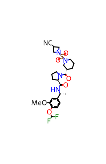 COc1cc([C@@H](C)NC(=O)[C@H]2CCCN2C(=O)[C@H]2CCCN(S(=O)(=O)N3CC(C#N)C3)C2)ccc1OC(F)F